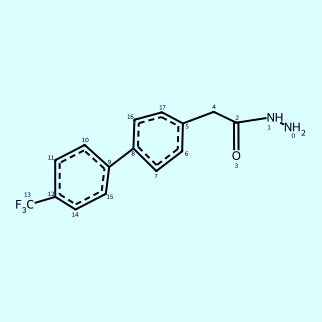 NNC(=O)Cc1ccc(-c2ccc(C(F)(F)F)cc2)cc1